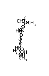 CCNC(=O)C(O)C(O)C(=O)NCCOCCOCCOCCNS(=O)(=O)c1ccc(C2CN(C)Cc3c(Cl)cc(Cl)cc32)cc1